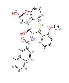 COc1ccccc1C1Sc2ccccc2N(CC(=O)O)C(=O)C1NC(=O)c1ccc2ccccc2c1